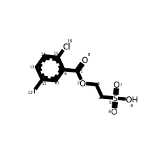 O=C(OCCS(=O)(=O)O)c1cc(I)ccc1Cl